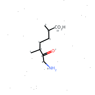 CC(CCC(C)C(=O)CN)C(=O)O